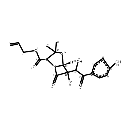 C=CCOC(=O)[C@@H]1N2C(=O)C(Br)(C(O)C(=O)c3ccc(O)cc3)[C@H]2SC1(C)C